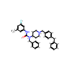 O=C(Nc1cc(F)cc(C(F)(F)F)c1)N(Cc1ccccc1)C1CCN(Cc2ccc(Cc3ccccc3)cc2)CC1